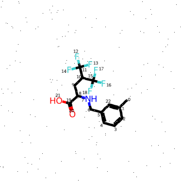 Cc1cccc(CNC(CC(C(F)(F)F)C(F)(F)F)C(=O)O)c1